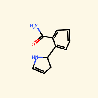 NC(=O)c1ccccc1C1CC=CN1